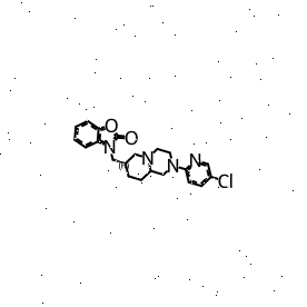 O=c1oc2ccccc2n1C[C@@H]1CCC2CN(c3ccc(Cl)cn3)CCN2C1